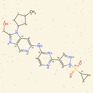 CC1CCC(n2c(CO)nc3cnc(Nc4ccnc(-c5cnn(S(=O)(=O)C6CC6)c5)n4)cc32)C1